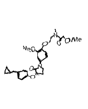 COCC(=O)N(C)CCOc1ccc(N2CC[C@H](Oc3ccc(C4CC4)cc3)C2=O)cc1OC